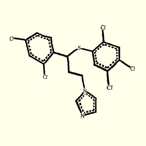 Clc1ccc(C(CCn2ccnc2)Sc2cc(Cl)c(Cl)cc2Cl)c(Cl)c1